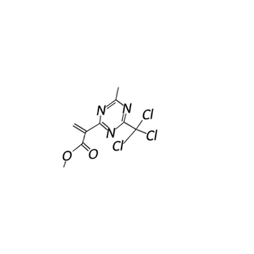 C=C(C(=O)OC)c1nc(C)nc(C(Cl)(Cl)Cl)n1